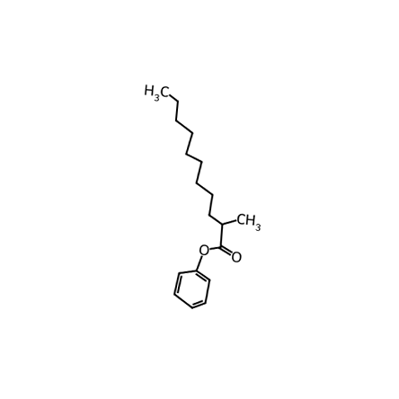 CCCCCCCCCC(C)C(=O)Oc1ccccc1